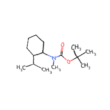 CC(C)C1CCCCC1N(C)C(=O)OC(C)(C)C